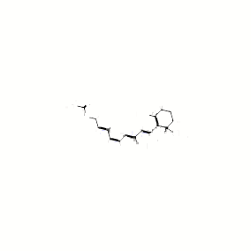 CCCC(=O)OC/C=C(C)/C=C\C=C(C)\C=C\C1=C(C)CCCC1(C)C